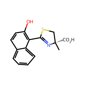 C[C@]1(C(=O)O)CSC(c2c(O)ccc3ccccc23)=N1